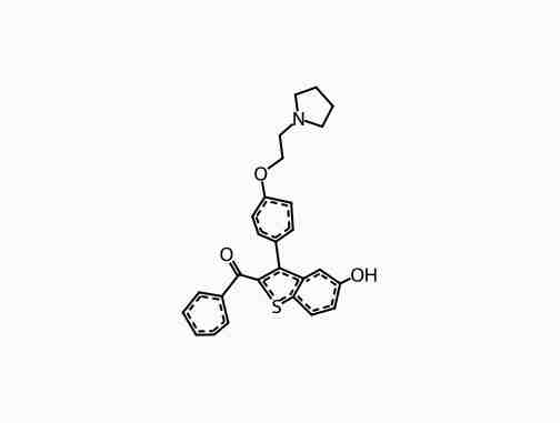 O=C(c1ccccc1)c1sc2ccc(O)cc2c1-c1ccc(OCCN2CCCC2)cc1